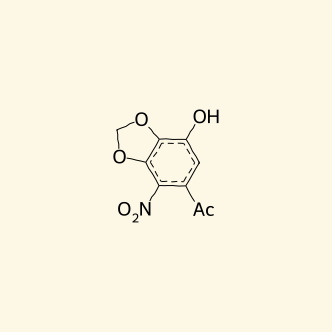 CC(=O)c1cc(O)c2c(c1[N+](=O)[O-])OCO2